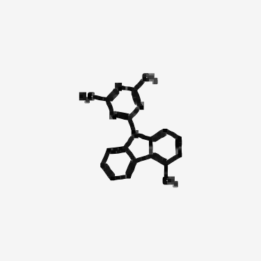 Cc1nc(C)nc(-n2c3ccccc3c3c(C)cccc32)n1